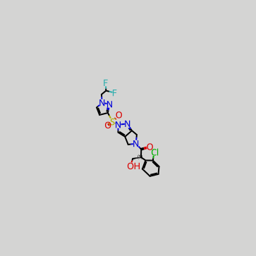 O=C([C@H](CO)c1ccccc1Cl)N1Cc2cn(S(=O)(=O)c3ccn(CC(F)F)n3)nc2C1